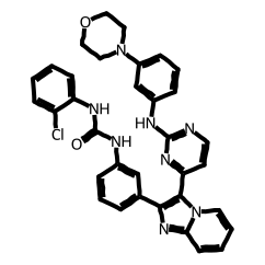 O=C(Nc1cccc(-c2nc3ccccn3c2-c2ccnc(Nc3cccc(N4CCOCC4)c3)n2)c1)Nc1ccccc1Cl